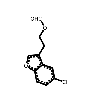 O=COCCc1coc2ccc(Cl)cc12